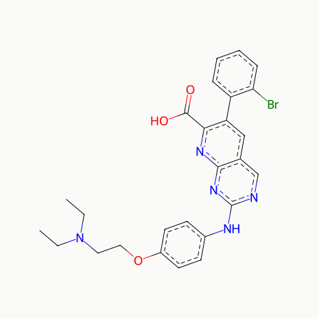 CCN(CC)CCOc1ccc(Nc2ncc3cc(-c4ccccc4Br)c(C(=O)O)nc3n2)cc1